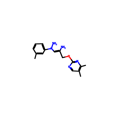 Cc1cccc(N(N)/C=C(\N)COc2ncc(C)c(C)n2)c1